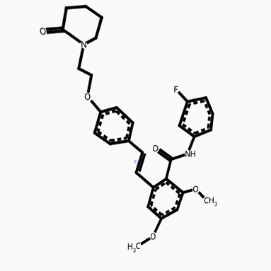 COc1cc(/C=C/c2ccc(OCCN3CCCCC3=O)cc2)c(C(=O)Nc2cccc(F)c2)c(OC)c1